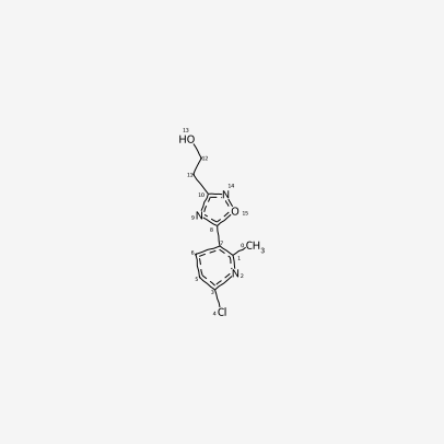 Cc1nc(Cl)ccc1-c1nc(CCO)no1